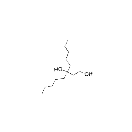 CCCCCC(O)(CCO)CCCCC